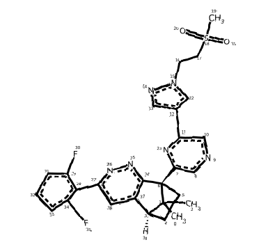 CC1(C)[C@H]2CC[C@@]1(c1cncc(-c3cnn(CCS(C)(=O)=O)c3)n1)c1nnc(-c3c(F)cccc3F)cc12